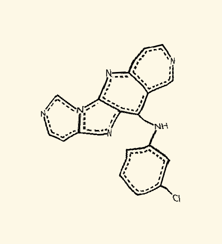 Clc1cccc(Nc2c3cnccc3nc3c2nc2ccncn23)c1